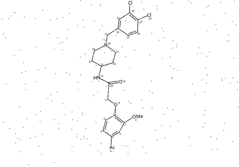 COc1cc(C(C)=O)ccc1OCC(=O)NC1CCN(Cc2ccc(Cl)c(Cl)c2)CC1